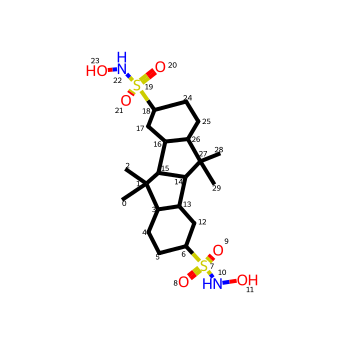 CC1(C)C2CCC(S(=O)(=O)NO)CC2C2C1C1CC(S(=O)(=O)NO)CCC1C2(C)C